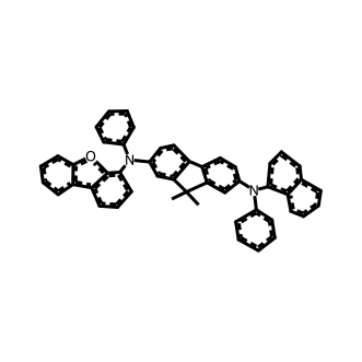 CC1(C)c2cc(N(c3ccccc3)c3cccc4ccccc34)ccc2-c2ccc(N(c3ccccc3)c3cccc4c3oc3ccccc34)cc21